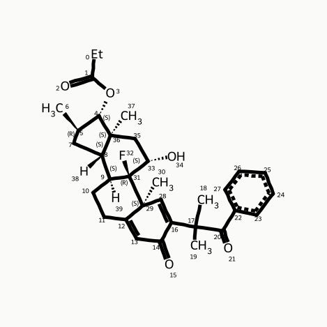 CCC(=O)O[C@H]1[C@H](C)C[C@H]2[C@@H]3CCC4=CC(=O)C(C(C)(C)C(=O)c5ccccc5)=C[C@]4(C)[C@@]3(F)[C@@H](O)C[C@@]21C